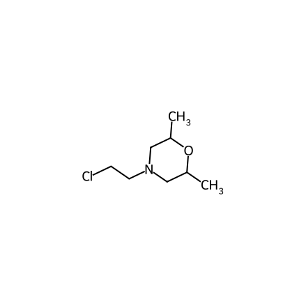 CC1CN(CCCl)CC(C)O1